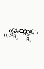 COCc1cc2ccc(/C=C/C(C)(C)C(=O)OC)cc2nc1[C@@H](C)O